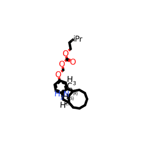 CC(C)CCOC(=O)OCOc1ccc2c(c1)[C@@]1(C)CCCCCC[C@@H](C2)[C@@H]1N